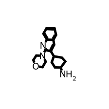 NC1CCC(c2cc3ccccc3nc2N2CCOCC2)CC1